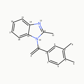 C=C(c1ccc(C)c(C)c1)n1c(C)nc2ccccc21